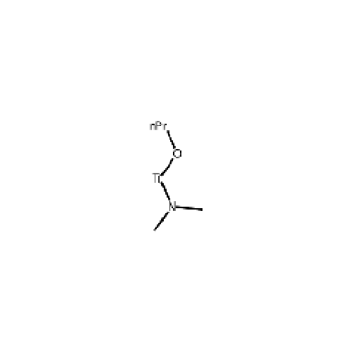 CCC[O][Ti][N](C)C